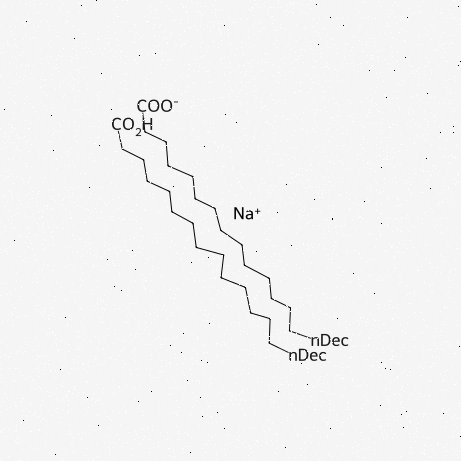 CCCCCCCCCCCCCCCCCCCCCCCC(=O)O.CCCCCCCCCCCCCCCCCCCCCCCC(=O)[O-].[Na+]